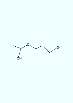 CC(O)OCCC[O]